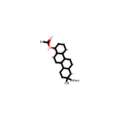 CCCCCC1(C#N)CCC2C(CCC3C2CCC2C(OC(=O)CC)CCCC23)C1